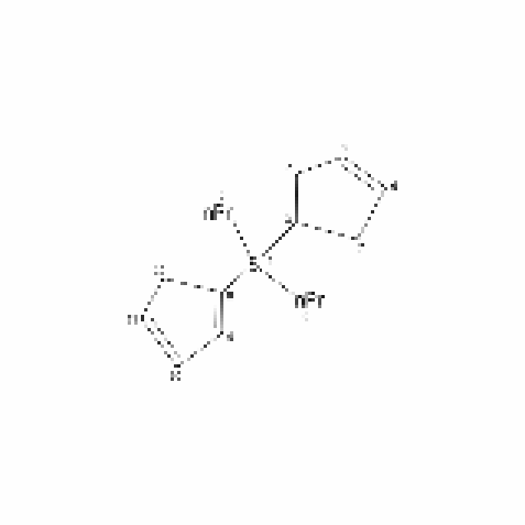 CCCS(CCC)(C1=CC=CC1)C1=CC=CC1